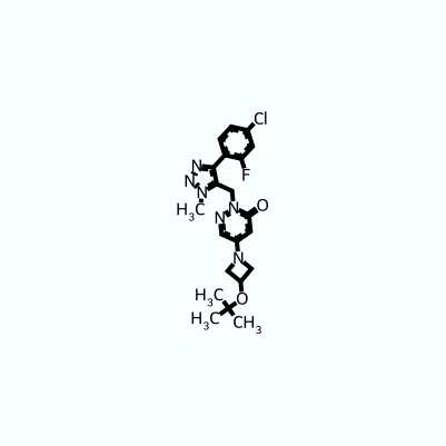 Cn1nnc(-c2ccc(Cl)cc2F)c1Cn1ncc(N2CC(OC(C)(C)C)C2)cc1=O